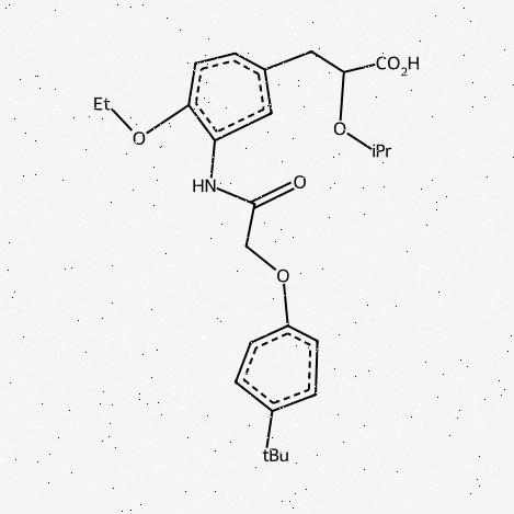 CCOc1ccc(CC(OC(C)C)C(=O)O)cc1NC(=O)COc1ccc(C(C)(C)C)cc1